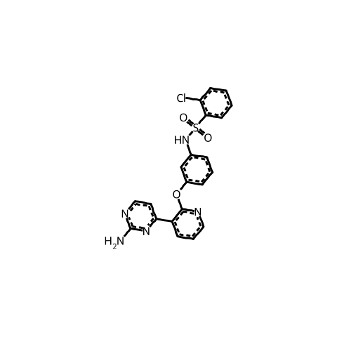 Nc1nccc(-c2cccnc2Oc2cccc(NS(=O)(=O)c3ccccc3Cl)c2)n1